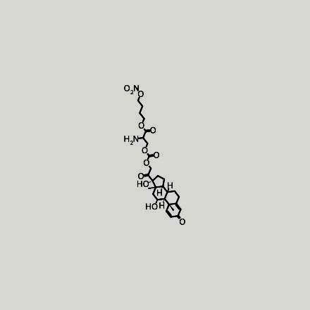 C[C@]12C=CC(=O)C=C1CC[C@@H]1[C@@H]2[C@@H](O)C[C@@]2(C)[C@H]1CC[C@]2(O)C(=O)COC(=O)OCC(N)C(=O)OCCCCO[N+](=O)[O-]